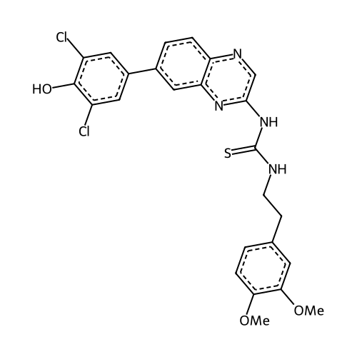 COc1ccc(CCNC(=S)Nc2cnc3ccc(-c4cc(Cl)c(O)c(Cl)c4)cc3n2)cc1OC